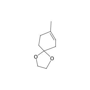 CC1=CCC2(CC1)OCCO2